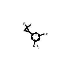 CC(C)c1cc(N)cc(C2CC2(F)F)c1